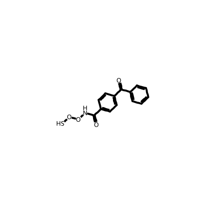 O=C(NOOS)c1ccc(C(=O)c2ccccc2)cc1